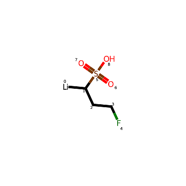 [Li][CH](CCF)S(=O)(=O)O